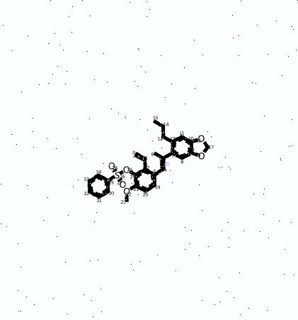 C=Cc1c(/C=C(\C)c2cc3c(cc2CCC)OCO3)ccc(OC)c1OS(=O)(=O)c1ccccc1